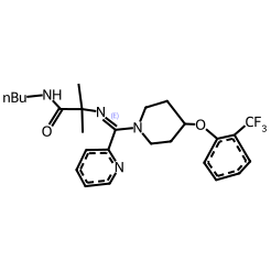 CCCCNC(=O)C(C)(C)/N=C(\c1ccccn1)N1CCC(Oc2ccccc2C(F)(F)F)CC1